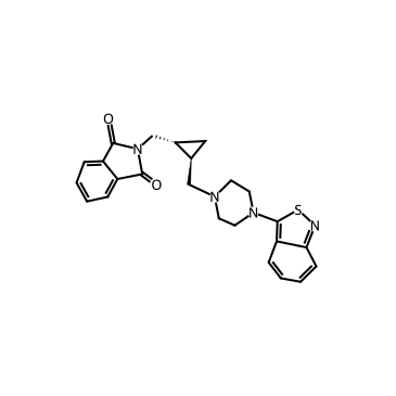 O=C1c2ccccc2C(=O)N1C[C@@H]1C[C@H]1CN1CCN(c2snc3ccccc23)CC1